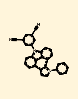 N#Cc1cc(C#N)cc(-n2c3cccc4c5ccn(-c6ccccc6)c5c5cccc2c5c43)c1